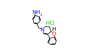 Cl.Nc1ccc(CN2C=C3c4ccccc4O[C@@H]3CC2)cc1